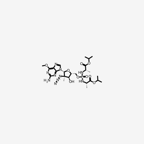 COc1nc(N)nc2c1ncn2[C@@H]1O[C@H](COP(=O)(N[C@@H](C)C(=O)OC(C)C)N[C@@H](C)C(=O)OC(C)C)[C@@H](O)[C@@]1(C)N=[N+]=[N-]